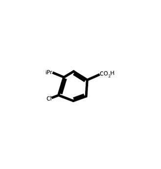 CC(C)c1cc(C(=O)O)ccc1Cl